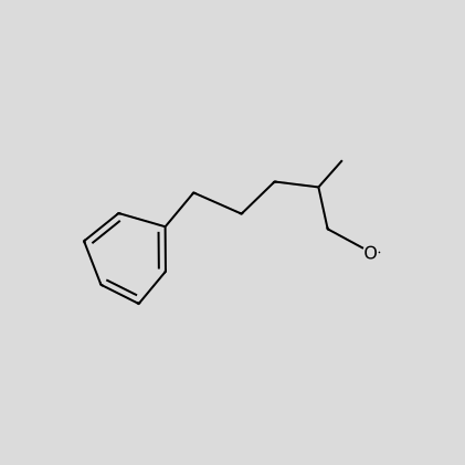 CC(C[O])CCCc1ccccc1